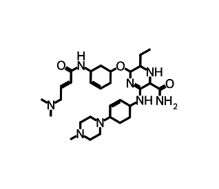 CCC1NC(C(N)=O)C(NC2C=CC(N3CCN(C)CC3)CC2)=NC1OC1CC=CC(NC(=O)/C=C/CN(C)C)C1